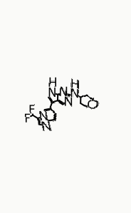 FC(F)c1cnc2ccc(-c3c[nH]c4nc(NC5CCOCC5)ncc34)cn12